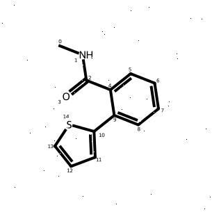 CNC(=O)c1ccccc1-c1cccs1